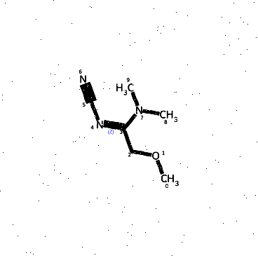 COC/C(=N/C#N)N(C)C